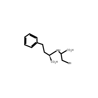 CC(C)CC(N[C@H](CCc1ccccc1)C(=O)O)C(=O)O